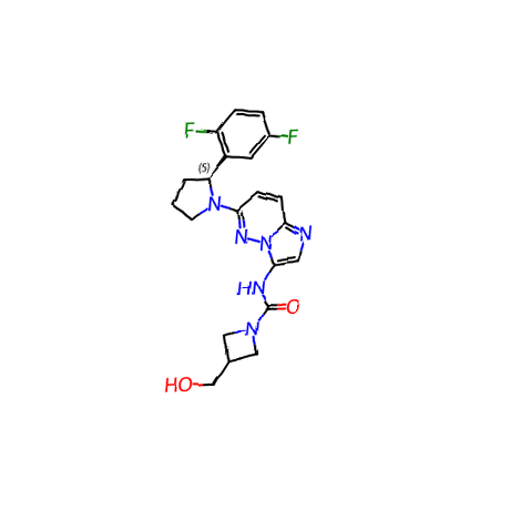 O=C(Nc1cnc2ccc(N3CCC[C@H]3c3cc(F)ccc3F)nn12)N1CC(CO)C1